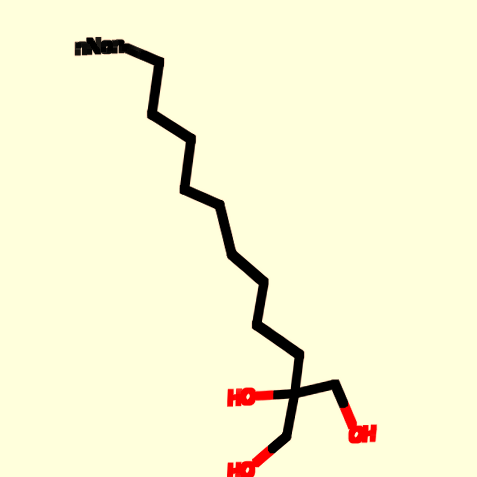 CCCCCCCCCCCCCCCCCCC(O)(CO)CO